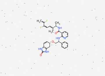 C=C(F)/C(F)=C\C=C(/C)C(C)NC(=O)c1cccnc1NC(CO[C@H]1C=Cc2[nH]c(=O)[nH]c2C1)c1ccccc1